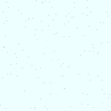 Cc1cc(N2CCC(F)(F)CC2)ncc1NC(=O)Nc1c[nH]c2ncc(F)cc12